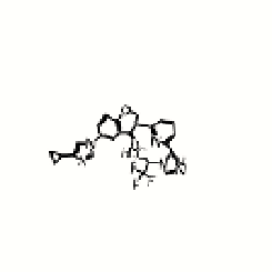 CC(n1cnnc1-c1cccc(-c2coc3ccc(-n4cnc(C5CC5)c4)cc3c2=O)n1)C(F)(F)F